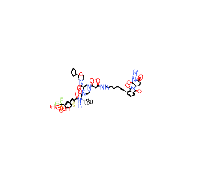 CC(C)(C)[C@H](NC(=O)c1cc2cc(C(F)(F)P(=O)(O)O)ccc2s1)C(=O)N1CCN(C(=O)CC(=O)NCCCCCC#Cc2cccc3c2C(=O)N(C2CCC(=O)NC2=O)C3=O)C[C@H]1C(=O)N1CCO[C@H](c2ccccc2)C1